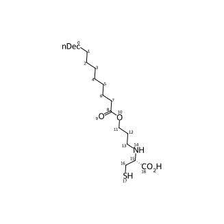 CCCCCCCCCCCCCCCCCC(=O)OCCCN[C@@H](CS)C(=O)O